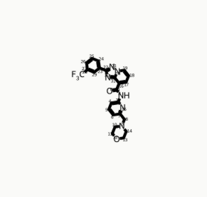 O=C(Nc1cccc(CN2CCOCC2)n1)c1cccn2nc(-c3cccc(C(F)(F)F)c3)nc12